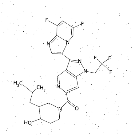 CC(C)CC1CN(C(=O)c2cc3c(cn2)c(-c2cnc4c(F)cc(F)cn24)nn3CC(F)(F)F)CCC1O